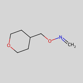 C=NOCC1CCOCC1